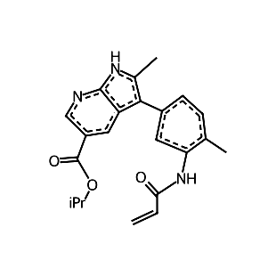 C=CC(=O)Nc1cc(-c2c(C)[nH]c3ncc(C(=O)OC(C)C)cc23)ccc1C